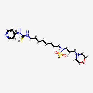 CS(=O)(=O)N(CCCCCCCCNC(=S)Nc1ccncc1)CCCN1CCOCC1